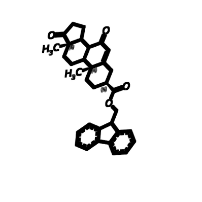 C[C@]12CC[C@H](C(=O)OCC3c4ccccc4-c4ccccc43)CC1=CC(=O)C1C2CC[C@]2(C)C(=O)CCC12